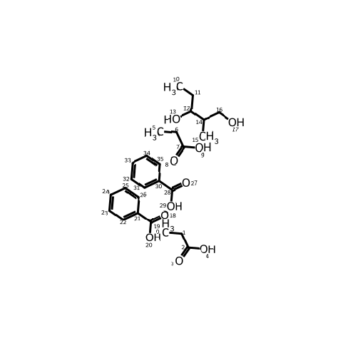 CCC(=O)O.CCC(=O)O.CCC(O)C(C)CO.O=C(O)c1ccccc1.O=C(O)c1ccccc1